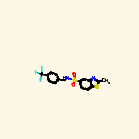 Cc1nc2cc(S(=O)(=O)NCc3ccc(C(F)(F)F)cc3)ccc2s1